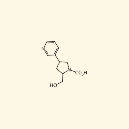 O=C(O)N1CC(c2cccnc2)CC1CO